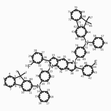 CC1(C)c2ccccc2-c2ccc(N(c3ccccc3)c3ccc(-n4c(-c5cccc(F)c5)cc5cc6c(cc(-c7cccc(F)c7)n6-c6ccc(N(c7ccccc7)c7ccc8c(c7)C(C)(C)c7ccccc7-8)cc6)cc54)cc3)cc21